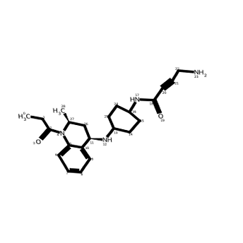 CCC(=O)N1c2ccccc2[C@H](NC2CCC(NC(=O)C#CCN)CC2)C[C@@H]1C